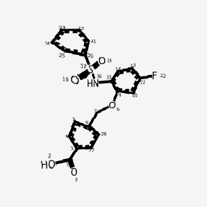 O=C(O)c1ccc(COc2cc(F)ccc2NS(=O)(=O)c2ccccc2)cc1